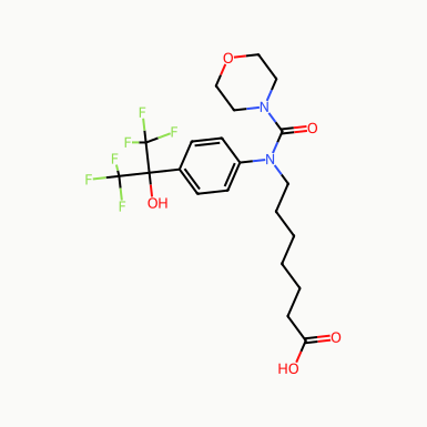 O=C(O)CCCCCCN(C(=O)N1CCOCC1)c1ccc(C(O)(C(F)(F)F)C(F)(F)F)cc1